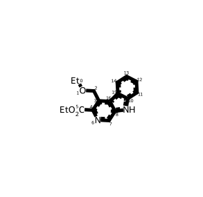 CCOCc1c(C(=O)OCC)ncc2[nH]c3ccccc3c12